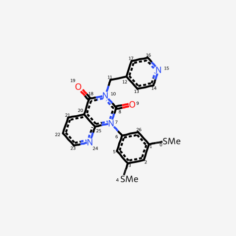 CSc1cc(SC)cc(-n2c(=O)n(Cc3ccncc3)c(=O)c3cccnc32)c1